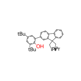 CC(C)CC1(CC(C)C)c2ccccc2-c2ccc(-c3cc(C(C)(C)C)cc(C(C)(C)C)c3O)cc21